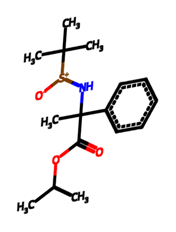 CC(C)OC(=O)C(C)(N[S+]([O-])C(C)(C)C)c1ccccc1